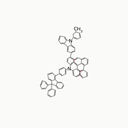 CC1C=CC=C(n2c3ccccc3c3cc(-c4ccc(N(c5ccc(-c6cccc7c6-c6ccccc6C7(c6ccccc6)c6ccccc6)cc5)c5ccccc5-c5cccc6cccc(-c7ccccc7)c56)cc4)ccc32)C1